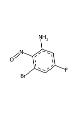 Nc1cc(F)cc(Br)c1N=O